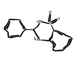 O=S1(=O)NC(c2ccccc2)Nc2ccccc21